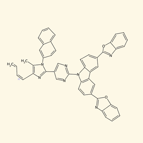 C=C/C=C\c1nc(-c2cnc(-n3c4ccc(-c5nc6ccccc6o5)cc4c4cc(-c5nc6ccccc6o5)ccc43)nc2)n(-c2ccc3ccccc3c2)c1C